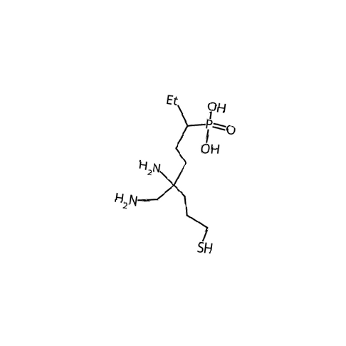 CCC(CCC(N)(CN)CCCS)P(=O)(O)O